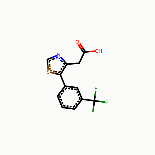 O=C(O)Cc1ncsc1-c1cccc(C(F)(F)F)c1